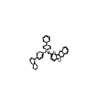 c1ccc(-c2ccc(N(c3ccc(-c4cccc5ccccc45)cc3)c3ccc4oc5cc6ccccc6cc5c4n3)cc2)cc1